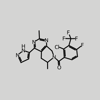 Cc1nc2c(c(-c3ccn[nH]3)n1)CC(C)N(C(=O)c1ccc(F)c(C(F)(F)F)c1Cl)C2